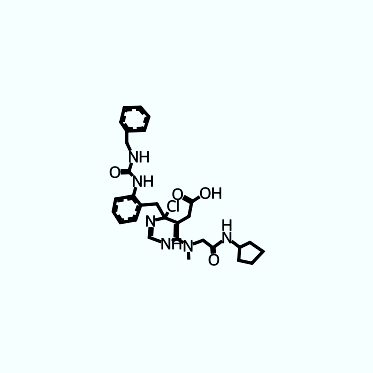 CN(CC(=O)NC1CCCC1)C1=C(CC(=O)O)C(Cl)(Cc2ccccc2NC(=O)NCc2ccccc2)N=CN1